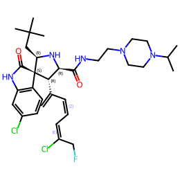 C=C(/C=C\C=C(\Cl)CF)[C@H]1[C@H](C(=O)NCCN2CCN(C(C)C)CC2)N[C@H](CC(C)(C)C)[C@]12C(=O)Nc1cc(Cl)ccc12